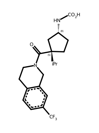 CC(C)[C@]1(C(=O)N2CCc3ccc(C(F)(F)F)cc3C2)CC[C@@H](NC(=O)O)C1